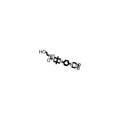 CC12CN(C(=O)NCCO)CC1(C)CN(c1ccc(N3CCS(=O)(=O)CC3)cc1)C2